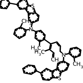 C=C/C(C)=C(\C=C/CN(c1ccc2sc3ccc(-c4ccccc4)cc3c2c1)c1ccccc1C)c1ccc(N(c2ccc3sc4ccc(-c5ccccc5)cc4c3c2)c2ccccc2C)cc1C